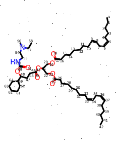 CCCCC/C=C\C/C=C\CCCCCCCC(=O)OCC(COC(=O)CCCCCCC/C=C\C/C=C\CCCCC)OC(=O)CCC(OC(=O)NCCN(C)CC)C1CCCCC1